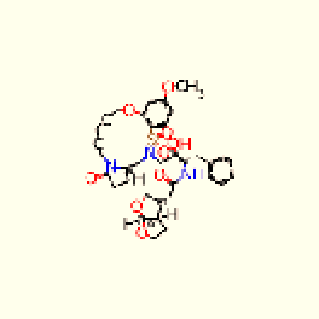 COc1ccc2c(c1)OCCCCCN1C(=O)CC[C@H]1CN(C[C@@H](O)[C@H](Cc1ccccc1)NC(=O)C[C@H]1CO[C@H]3OCC[C@@H]13)S2(=O)=O